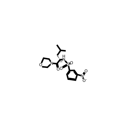 CC(C)C[C@H](NS(=O)(=O)c1cccc([N+](=O)[O-])c1)C(=O)N1CCOCC1